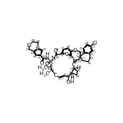 C[C@@H]1[C@@H](C)C/C=C/[C@H](O)[C@@H]2CC[C@H]2CN2C[C@@]3(CCCc4cc(Cl)ccc43)COc3ccc(cc32)C(=O)N=S1(=O)NC(=O)c1cc2n(c1)CCOC2